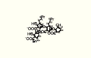 CC(C)CCc1cccc(C(=O)[O-])c1O.CC(C)CCc1cccc(C(=O)[O-])c1O.Cc1cccc(C(=O)[O-])c1O.Cc1cccc(C(=O)[O-])c1O.[Sn+4]